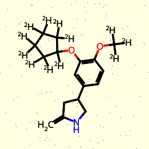 [2H]C([2H])([2H])Oc1ccc(C2CNC(=C)C2)cc1OC1([2H])C([2H])([2H])C([2H])([2H])C([2H])([2H])C1([2H])[2H]